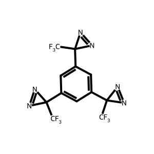 FC(F)(F)C1(c2cc(C3(C(F)(F)F)N=N3)cc(C3(C(F)(F)F)N=N3)c2)N=N1